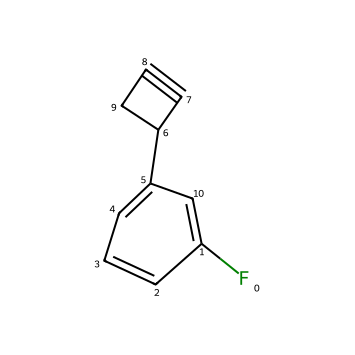 Fc1cccc(C2C#CC2)c1